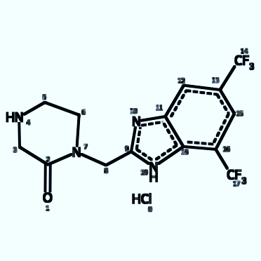 Cl.O=C1CNCCN1Cc1nc2cc(C(F)(F)F)cc(C(F)(F)F)c2[nH]1